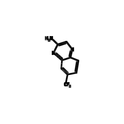 Nc1cnc2ccc(C(F)(F)F)cc2n1